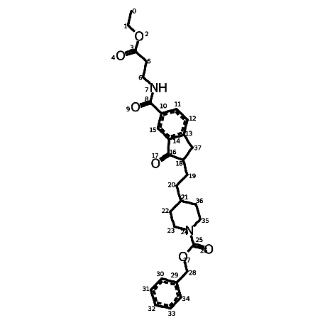 CCOC(=O)CCNC(=O)c1ccc2c(c1)C(=O)C(CCC1CCN(C(=O)OCc3ccccc3)CC1)C2